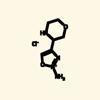 N[n+]1nc(C2COCCN2)co1.[Cl-]